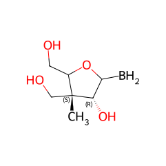 BC1OC(CO)[C@@](C)(CO)[C@H]1O